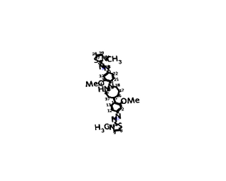 COc1cc(/N=N/c2scc[n+]2C)ccc1C1CCCN(c2ccc(/N=N/c3scc[n+]3C)cc2OC)NCC1